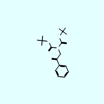 CC(C)(C)OC(=O)N(CC(=O)c1ccccc1)C(=O)OC(C)(C)C